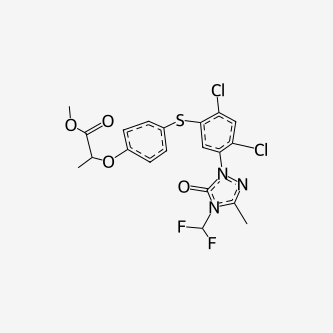 COC(=O)C(C)Oc1ccc(Sc2cc(-n3nc(C)n(C(F)F)c3=O)c(Cl)cc2Cl)cc1